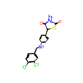 O=C1NC(=O)C(c2ccc(NCc3ccc(Cl)c(Cl)c3)cc2)S1